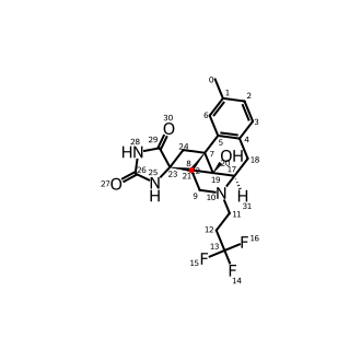 Cc1ccc2c(c1)[C@]13CCN(CCC(F)(F)F)[C@H](C2)[C@]1(O)CC[C@@]1(C3)NC(=O)NC1=O